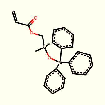 C=CC(=O)OC[Si](C)(C)O[Si](c1ccccc1)(c1ccccc1)c1ccccc1